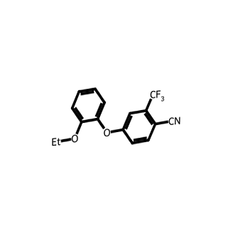 CCOc1ccccc1Oc1ccc(C#N)c(C(F)(F)F)c1